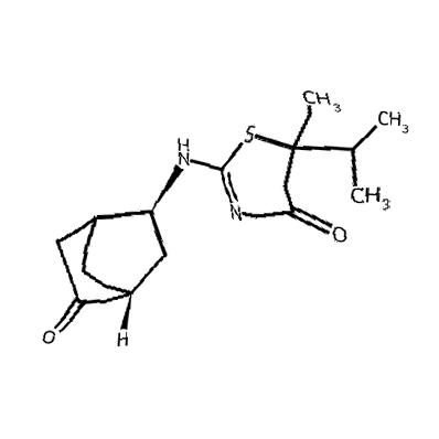 CC(C)C1(C)SC(N[C@H]2C[C@H]3CC2CC3=O)=NC1=O